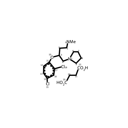 CNCCC(CN1CCCC1)Oc1ccc(Cl)cc1Cl.O=C(O)CCC(=O)O